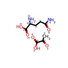 CC(=O)C(=O)O.NC(=O)CC[C@H](N)C(=O)O